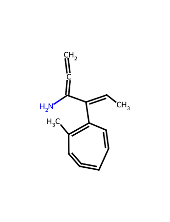 C=C=C(N)/C(=C/C)C1=C(C)C=C=CC=C1